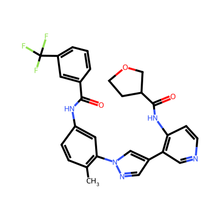 Cc1ccc(NC(=O)c2cccc(C(F)(F)F)c2)cc1-n1cc(-c2cnccc2NC(=O)C2CCOC2)cn1